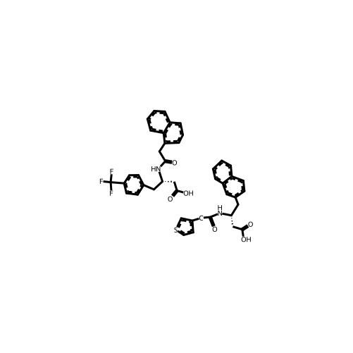 O=C(O)C[C@@H](Cc1ccc2ccccc2c1)NC(=O)Cc1ccsc1.O=C(O)C[C@H](Cc1ccc(C(F)(F)F)cc1)NC(=O)Cc1cccc2ccccc12